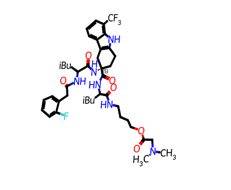 CCC(C)C(NC(=O)Cc1ccccc1F)C(=O)N[C@@]1(C(=O)NC(C(=O)NCCCCOC(=O)CN(C)C)C(C)CC)CCc2[nH]c3c(C(F)(F)F)cccc3c2C1